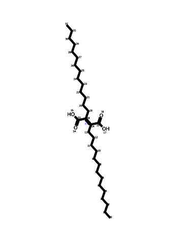 CCCCCCCCCCCCCC/C(C(=O)O)=C(/CCCCCCCCCCCCCC)C(=O)O